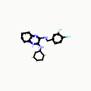 Fc1ccc(CNc2nc3ccccc3nc2NC2CCCCC2)cc1F